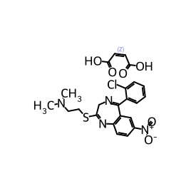 CN(C)CCSC1=Nc2ccc([N+](=O)[O-])cc2C(c2ccccc2Cl)=NC1.O=C(O)/C=C\C(=O)O